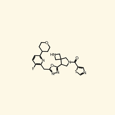 O=C(c1cncs1)N1CC(c2nnc(Cc3nc(C4CCOCC4)ccc3F)o2)C2(CNC2)C1